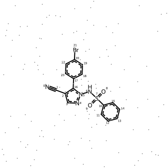 N#Cc1cnn(NS(=O)(=O)c2ccccc2)c1-c1ccc(Br)cc1